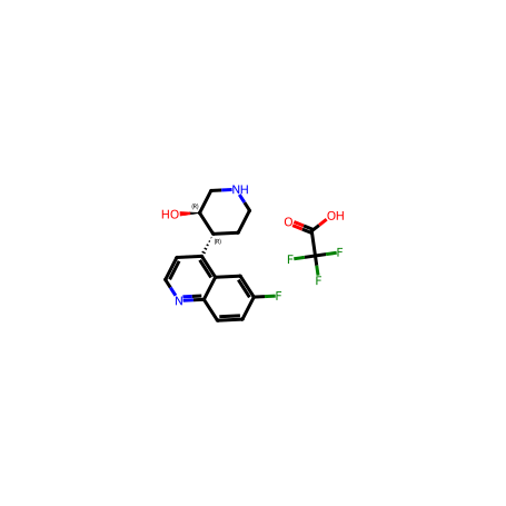 O=C(O)C(F)(F)F.O[C@H]1CNCC[C@@H]1c1ccnc2ccc(F)cc12